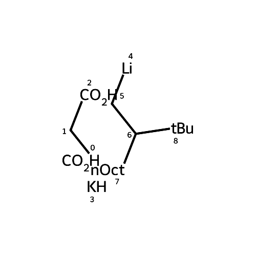 O=C(O)CC(=O)O.[KH].[Li][CH2]C(CCCCCCCC)C(C)(C)C